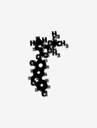 CC(C)(C)OC(=O)N1C(C(=O)OC2CCc3cc4c(cc3C2=O)COc2cc(Cl)ccc2-4)C[C@H]2C[C@H]21